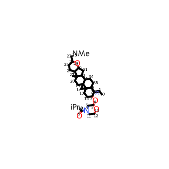 C/C=C1\C(OC2CN(C(=O)C(C)C)CCO2)CCC23CC24CCC2(C)C5CCC(CNC)OC5CC2C4CCC13